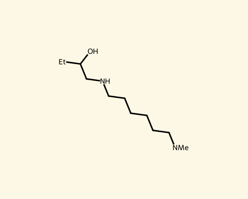 CCC(O)CNCCCCCCNC